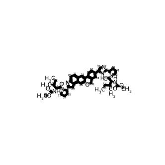 CC[C@H](C)C(NC(=O)OC)C(=O)N1CCC[C@H]1C1=Nc2ccc3cc4c(cc3c2C1)OCc1cc(-c2cnc([C@@H]3CCCN3C(=O)[C@@H](NC(=O)OC)[C@@H](C)CC)[nH]2)ccc1-4